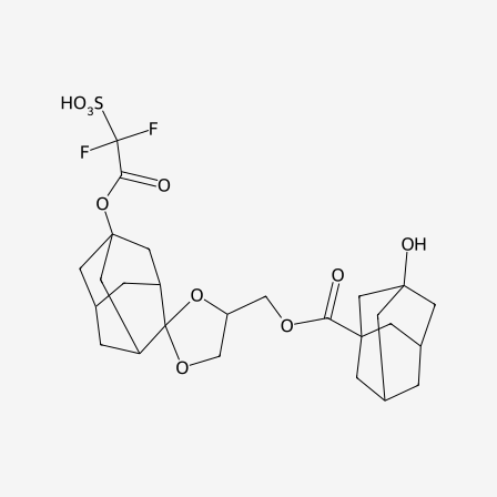 O=C(OCC1COC2(O1)C1CC3CC2CC(OC(=O)C(F)(F)S(=O)(=O)O)(C3)C1)C12CC3CC(CC(O)(C3)C1)C2